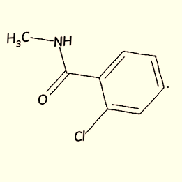 CNC(=O)c1cc[c]cc1Cl